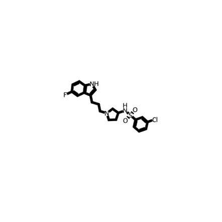 O=S(=O)(NC1CCN(CCCc2c[nH]c3ccc(F)cc23)C1)c1cccc(Cl)c1